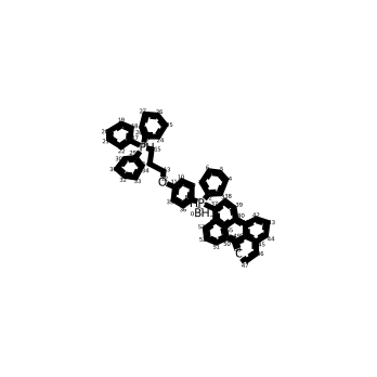 B[PH](c1ccccc1)(c1ccc(OCCC[PH](c2ccccc2)(c2ccccc2)c2ccccc2)cc1)c1ccc2c3cccc4cccc(c5cccc1c52)c43